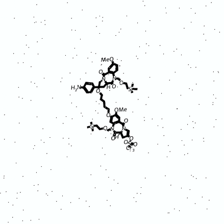 COc1ccc2c(c1)C(=O)N1CC(OCCCCCOc3cc4c(cc3OC)C(=O)N3C=C(OS(=O)(=O)C(F)(F)F)C[C@H]3C(=O)N4COCC[Si](C)(C)C)(c3ccc(N)cc3)C[C@H]1C(=O)N2COCC[Si](C)(C)C